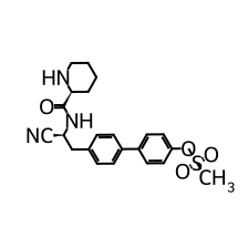 CS(=O)(=O)Oc1ccc(-c2ccc(C[C@@H](C#N)NC(=O)[C@@H]3CCCCN3)cc2)cc1